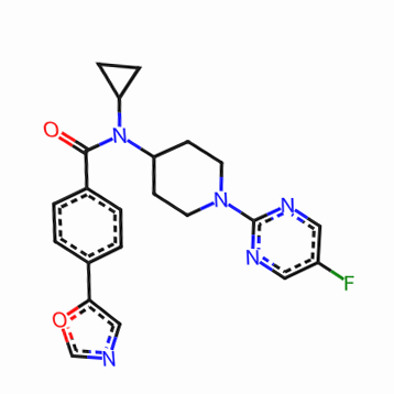 O=C(c1ccc(-c2cnco2)cc1)N(C1CC1)C1CCN(c2ncc(F)cn2)CC1